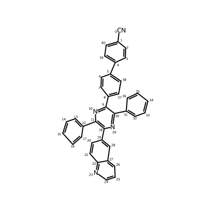 N#Cc1ccc(-c2ccc(-c3nc(-c4ccccc4)c(-c4ccc5ncccc5c4)nc3-c3ccccc3)cc2)cc1